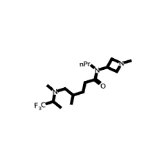 CCCN(C(=O)CCC(C)CN(C)C(C)C(F)(F)F)C1CN(C)C1